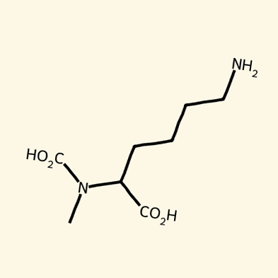 CN(C(=O)O)C(CCCCN)C(=O)O